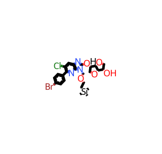 C[Si](C)(C)CCOCn1c(OC2COC3C(O)CO[C@H]23)nc2cc(Cl)c(-c3ccc(Br)cc3)nc21